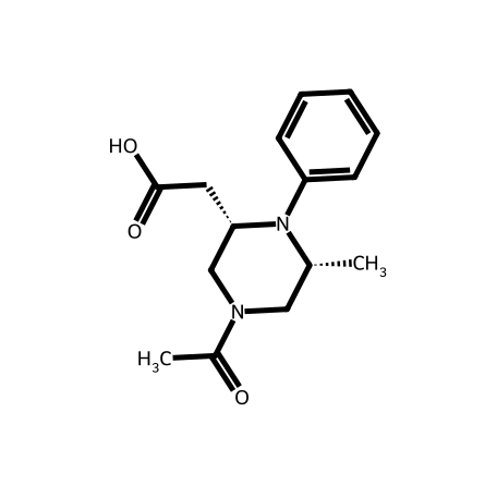 CC(=O)N1C[C@H](CC(=O)O)N(c2ccccc2)[C@H](C)C1